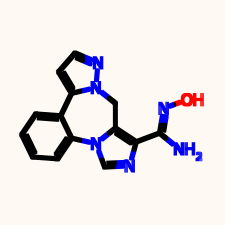 NC(=NO)c1ncn2c1Cn1nccc1-c1ccccc1-2